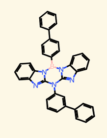 c1ccc(-c2ccc(B3n4c(nc5ccccc54)N(c4cccc(-c5ccccc5)c4)c4nc5ccccc5n43)cc2)cc1